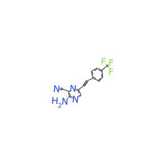 N#Cc1nc(C#Cc2ccc(C(F)(F)F)cc2)cnc1N